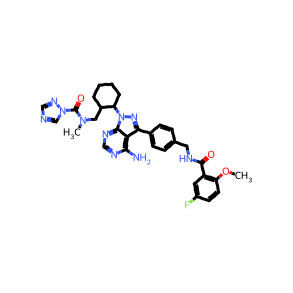 COc1ccc(F)cc1C(=O)NCc1ccc(-c2nn(C3CCCCC3CN(C)C(=O)n3cncn3)c3ncnc(N)c23)cc1